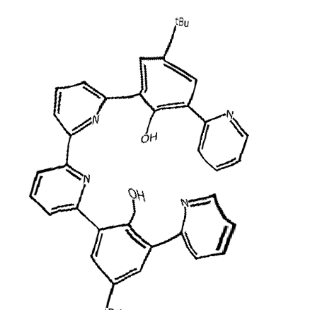 CC(C)(C)c1cc(-c2ccccn2)c(O)c(-c2cccc(-c3cccc(-c4cc(C(C)(C)C)cc(-c5ccccn5)c4O)n3)n2)c1